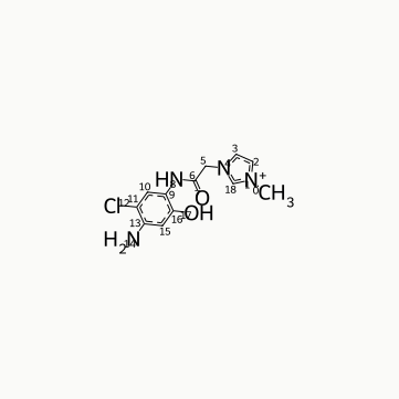 C[n+]1ccn(CC(=O)Nc2cc(Cl)c(N)cc2O)c1